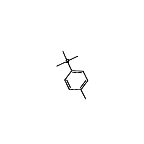 Cc1ccc([Si](C)(C)C)cc1